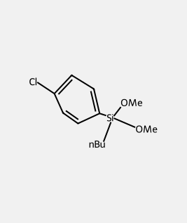 CCCC[Si](OC)(OC)c1ccc(Cl)cc1